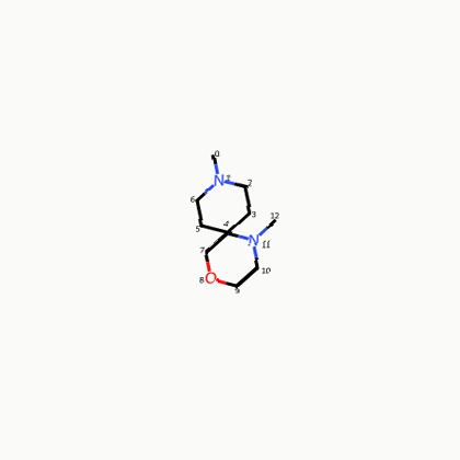 CN1CCC2(CC1)COCCN2C